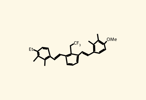 CCc1ccc(/C=C/c2cccc(/C=C/c3ccc(OC)c(C)c3C)c2CC(F)(F)F)c(C)c1C